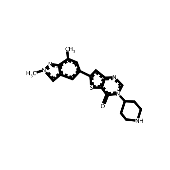 Cc1cc(-c2cc3ncn(C4CCNCC4)c(=O)c3s2)cc2cn(C)nc12